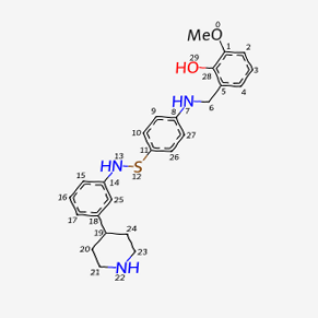 COc1cccc(CNc2ccc(SNc3cccc(C4CCNCC4)c3)cc2)c1O